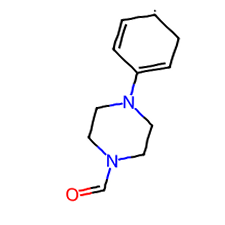 O=CN1CCN(C2=CC[CH]C=C2)CC1